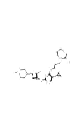 Cc1nn(C2CCN(C)CC2)cc1Nc1ncc(C2CC2)c(NCCCN2CCCOCC2=O)n1